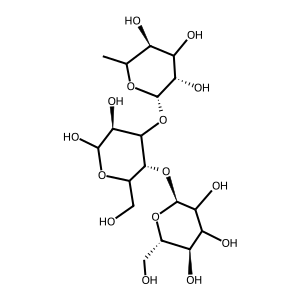 CC1O[C@@H](OC2[C@H](O)C(O)OC(CO)[C@H]2O[C@@H]2O[C@@H](CO)[C@H](O)C(O)C2O)[C@@H](O)C(O)[C@@H]1O